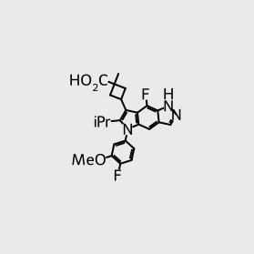 COc1cc(-n2c(C(C)C)c(C3CC(C)(C(=O)O)C3)c3c(F)c4[nH]ncc4cc32)ccc1F